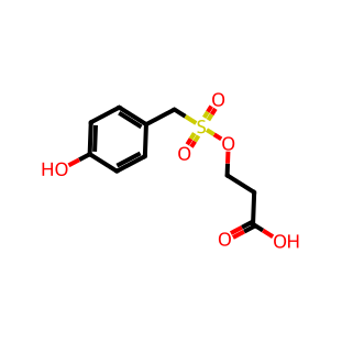 O=C(O)CCOS(=O)(=O)Cc1ccc(O)cc1